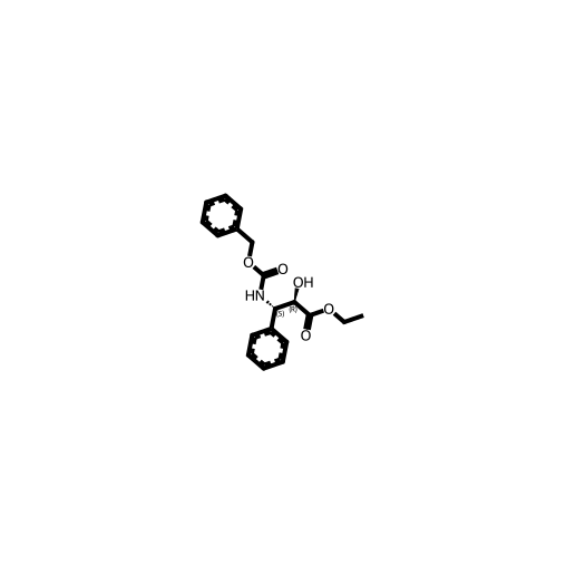 CCOC(=O)[C@H](O)[C@@H](NC(=O)OCc1ccccc1)c1ccccc1